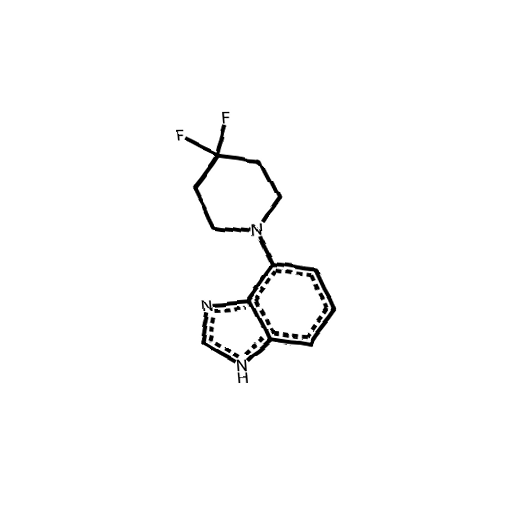 FC1(F)CCN(c2cccc3[nH]cnc23)CC1